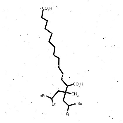 CCCCC(CC)CC(C)(CC(CC)CCCC)C(CCCCCCCCCCCC(=O)O)C(=O)O